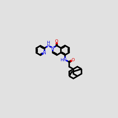 O=C(CC12CC3CC(CC(C3)C1)C2)Nc1cccc2c(=O)n(Nc3ccccn3)ccc12